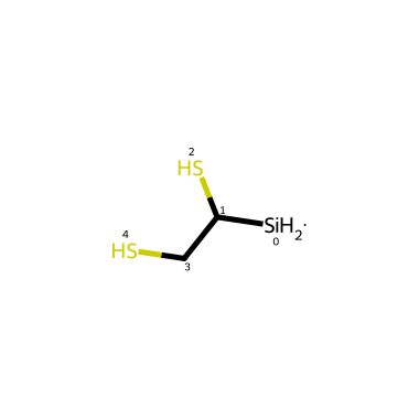 [SiH2]C(S)CS